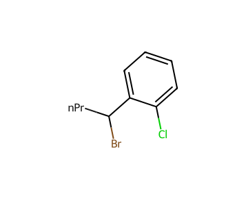 CCCC(Br)c1ccccc1Cl